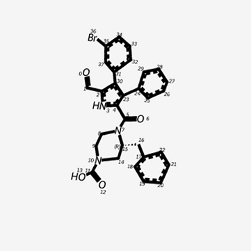 O=Cc1[nH]c(C(=O)N2CCN(C(=O)O)C[C@H]2Cc2ccccc2)c(-c2ccccc2)c1-c1cccc(Br)c1